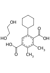 Cc1c(C(=O)O)cc(C2CCCCC2)c(C(=O)O)c1C.OCCO